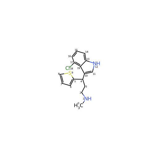 CNCCC(c1cccs1)c1c[nH]c2cccc(Cl)c12